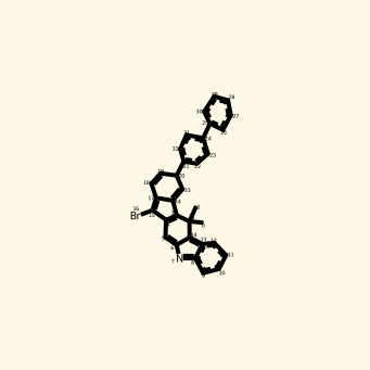 CC1(C)C2=C(C=C3N=c4ccccc4=C31)C(Br)=C1C=CC(c3ccc(-c4ccccc4)cc3)C=C12